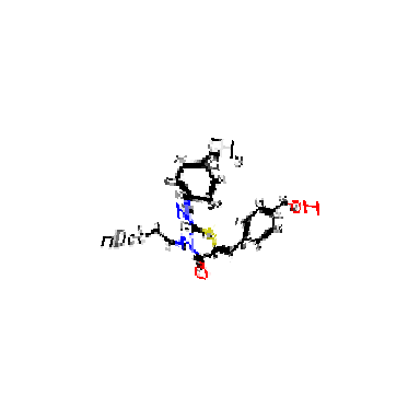 CCCCCCCCCCCCN1C(=O)C(=Cc2ccc(CO)cc2)SC1=Nc1ccc(C)cc1